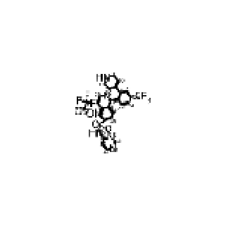 O=C(O)C(F)(F)F.O=S(=O)(Nc1ccncn1)c1ccc2c(-c3ccc(C(F)(F)F)cc3C3=CCNCC3)nccc2c1